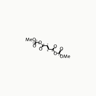 COC(=O)OC(=O)/C=C/C(=O)OC(=O)OC